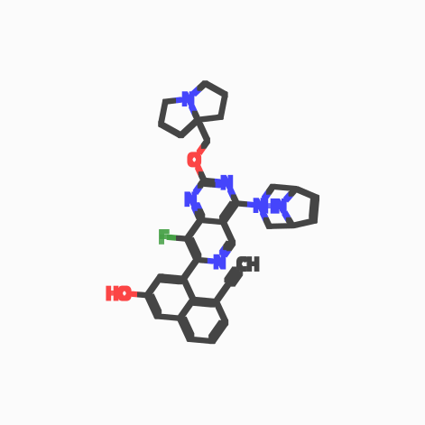 C#Cc1cccc2cc(O)cc(-c3ncc4c(N5CC6C=CC(C5)N6)nc(OCC56CCCN5CCC6)nc4c3F)c12